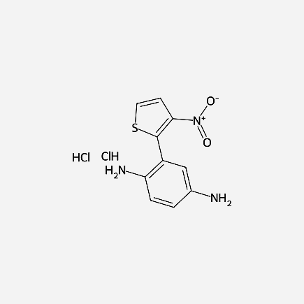 Cl.Cl.Nc1ccc(N)c(-c2sccc2[N+](=O)[O-])c1